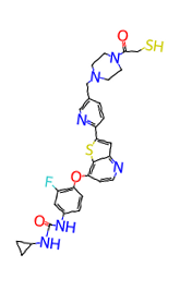 O=C(Nc1ccc(Oc2ccnc3cc(-c4ccc(CN5CCN(C(=O)CS)CC5)cn4)sc23)c(F)c1)NC1CC1